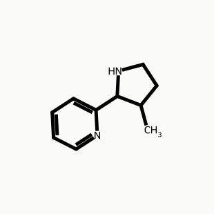 CC1CCNC1c1ccccn1